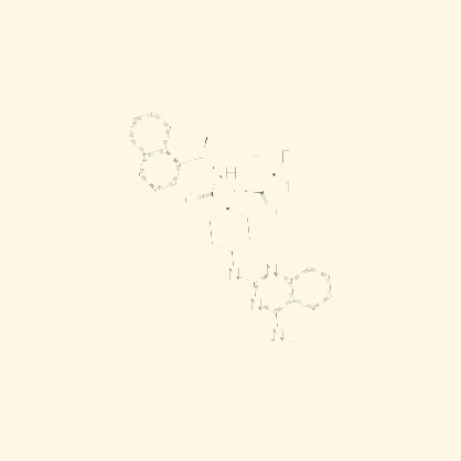 C[C@@H](NC(=O)C1(OC(=O)C(F)(F)F)CCC(Nc2nc(N(C)C)c3ccccc3n2)CC1)c1cccc2ccccc12